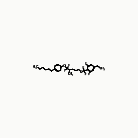 CCCCCCc1ccc(OC(F)(F)C(C)CCCOC(F)(F)c2c(F)cc(CC)cc2F)cc1